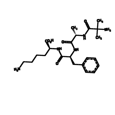 C[C@H](NC(=O)C(C)(C)N)C(=O)N[C@@H](Cc1ccccc1)C(=O)N[C@@H](CCCCN)C(=O)O